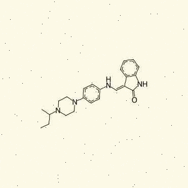 CCC(C)N1CCN(c2ccc(N/C=C3/C(=O)Nc4ccccc43)cc2)CC1